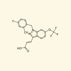 Cc1cc(F)ccc1Cn1nc(/C=C/C(=O)O)c2ccc(OC(F)(F)F)cc21